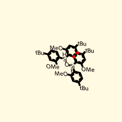 COc1cc(C(C)(C)C)ccc1[SiH](O[SiH](c1ccc(C(C)(C)C)cc1OC)c1ccc(C(C)(C)C)cc1OC)c1ccc(C(C)(C)C)cc1OC